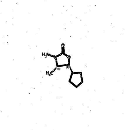 C[C@H]1[C@@H](C2CCCC2)OC(=O)N1N